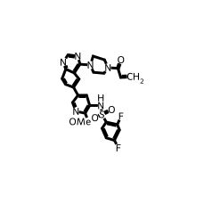 C=CC(=O)N1CCN(c2ncnc3ccc(-c4cnc(OC)c(NS(=O)(=O)c5ccc(F)cc5F)c4)cc23)CC1